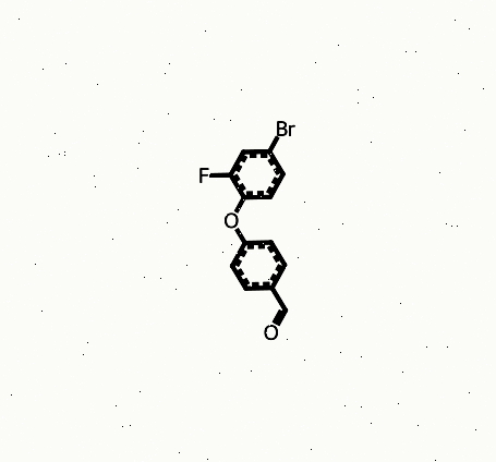 O=Cc1ccc(Oc2ccc(Br)cc2F)cc1